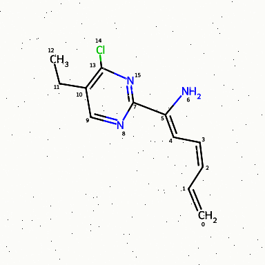 C=C/C=C\C=C(/N)c1ncc(CC)c(Cl)n1